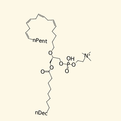 CCCCC/C=C\C/C=C\C/C=C\C/C=C\CCCCO[C@H](COC(=O)CCCCCCCCCCCCCCCCC)COP(=O)(O)OCC[N+](C)(C)C